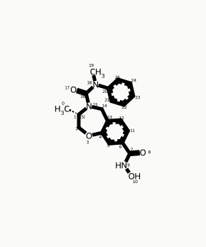 C[C@H]1COc2cc(C(=O)NO)ccc2CN1C(=O)N(C)c1ccccc1